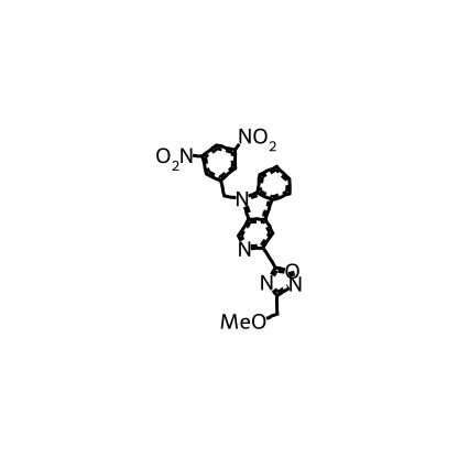 COCc1noc(-c2cc3c4ccccc4n(Cc4cc([N+](=O)[O-])cc([N+](=O)[O-])c4)c3cn2)n1